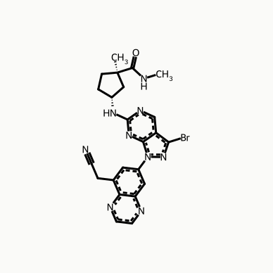 CNC(=O)[C@]1(C)CC[C@@H](Nc2ncc3c(Br)nn(-c4cc(CC#N)c5nccnc5c4)c3n2)C1